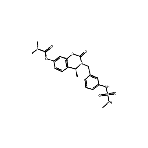 CNS(=O)(=O)Nc1cccc(CN2C(=O)Oc3cc(OC(=O)N(C)C)ccc3[C@@H]2C)c1